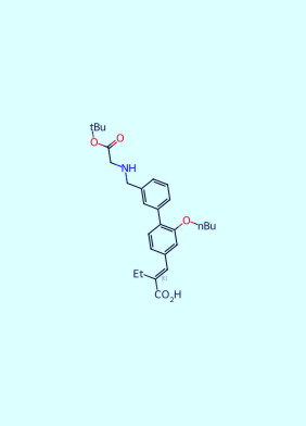 CCCCOc1cc(/C=C(\CC)C(=O)O)ccc1-c1cccc(CNCC(=O)OC(C)(C)C)c1